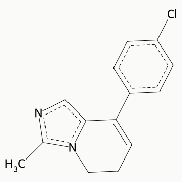 Cc1ncc2n1CCC=C2c1ccc(Cl)cc1